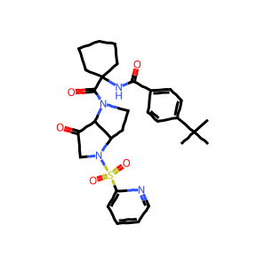 CC(C)(C)c1ccc(C(=O)NC2(C(=O)N3CCC4C3C(=O)CN4S(=O)(=O)c3ccccn3)CCCCC2)cc1